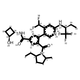 CCC1CCC(C)N1C(=O)c1nc(C(=O)N[C@H]2CC[C@@H]2O)sc1-c1cnc(N[C@@H](CC)C(F)(F)F)cc1C(F)F